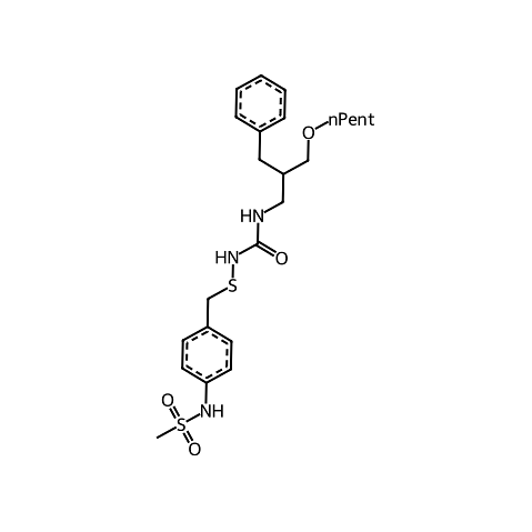 CCCCCOCC(CNC(=O)NSCc1ccc(NS(C)(=O)=O)cc1)Cc1ccccc1